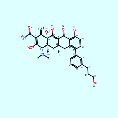 B=C1C(C(N)=O)=C(O)[C@@H](N(C)C)[C@@H]2C[C@@H]3Cc4c(-c5cccc(CCCO)c5)ccc(O)c4C(=O)C3=C(O)[C@]12O